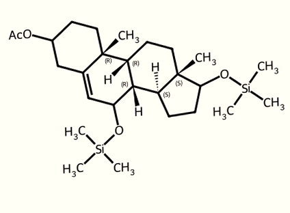 CC(=O)OC1CC[C@@]2(C)C(=CC(O[Si](C)(C)C)[C@@H]3[C@H]2CC[C@]2(C)C(O[Si](C)(C)C)CC[C@@H]32)C1